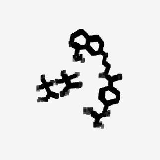 N=C(N)Nc1ccc(C(=O)NCCOc2ccc3ccnc(N)c3c2)cc1.O=C(O)C(F)(F)F.O=C(O)C(F)(F)F